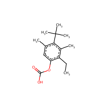 CCc1c(OC(=O)O)cc(C)c(C(C)(C)C)c1C